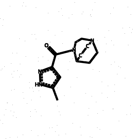 Cc1cc(C(=O)N2CCN3CCC2CC3)n[nH]1